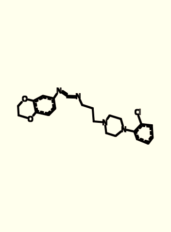 Clc1ccccc1N1CCN(CCCN=C=Nc2ccc3c(c2)OCCO3)CC1